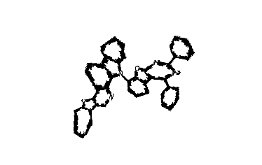 c1ccc(-c2nc(-c3ccccc3)c3c(n2)oc2c(-n4c5ccccc5c5ccc6c(ncc7c8ccccc8oc76)c54)cccc23)cc1